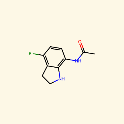 CC(=O)Nc1ccc(Br)c2c1NCC2